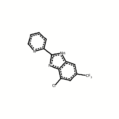 FC(F)(F)c1cc(Cl)c2nc(-c3ccccn3)[nH]c2c1